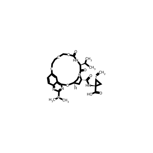 C=C[C@@H]1C[C@]1(NC(=O)[C@@H]1C[C@@H]2CN1C(=O)[C@H](C(C)C)NC(=O)OCCCCCc1ccc3nc(N(C)C)nc(c3c1)O2)C(=O)O